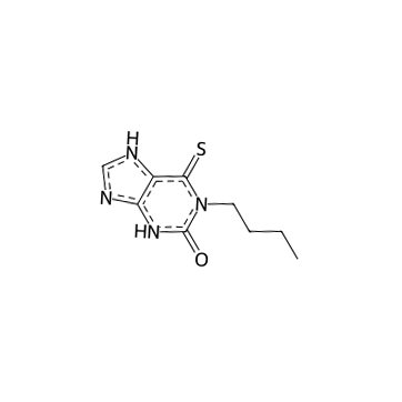 CCCCn1c(=O)[nH]c2nc[nH]c2c1=S